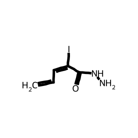 C=C/C=C(/I)C(=O)NN